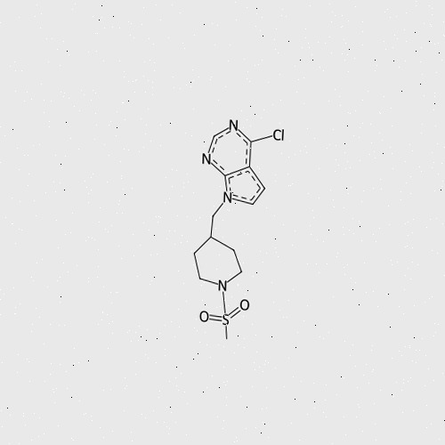 CS(=O)(=O)N1CCC(Cn2ccc3c(Cl)ncnc32)CC1